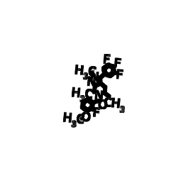 CCC1Cc2c(nn(C)c2-c2cc(F)c(F)c(F)c2)C(C)N1C(=O)c1cccc(OC)c1F